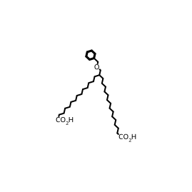 O=C(O)CCCCCCCCCCCCCCC(CCCCCCCCCCCCCC(=O)O)COCc1ccccc1